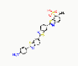 Cc1ccc2nc(-c3ccc4nc(-c5ccc6nc(-c7ccc(N)cc7)sc6c5)sc4c3)sc2c1S(=O)(=O)O